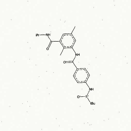 Cc1cc(NC(=O)c2ccc(N[S+]([O-])C(C)(C)C)cc2)c(C)c(C(=O)NC(C)C)c1